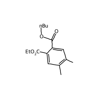 CCCCOC(=O)c1cc(C)c(C)cc1C(=O)OCC